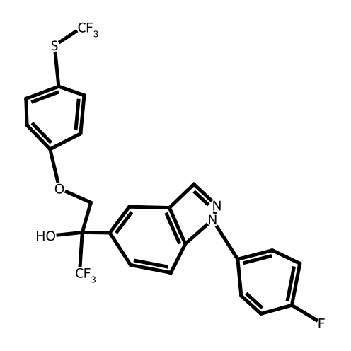 OC(COc1ccc(SC(F)(F)F)cc1)(c1ccc2c(cnn2-c2ccc(F)cc2)c1)C(F)(F)F